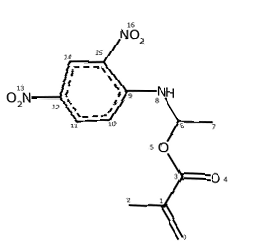 C=C(C)C(=O)OC(C)Nc1ccc([N+](=O)[O-])cc1[N+](=O)[O-]